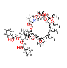 CCC1/C=C(\C)CC(C)CC(OC)C2OC(O)(C(=O)C(=O)N3CCCCC3C(=O)OC(C(C)=CC3CCC(OCC(O)c4ccccc4)C(OCC(O)c4ccccc4)C3)C(C)C(O)CC1=O)C(C)CC2OC